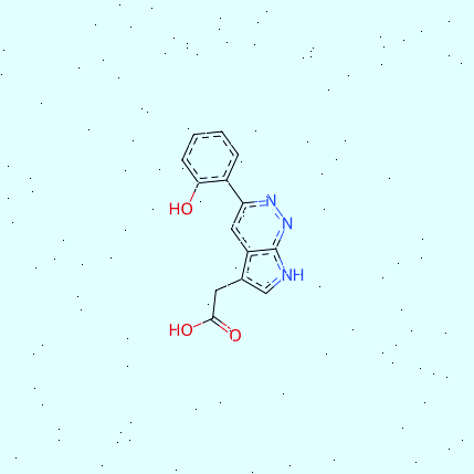 O=C(O)Cc1c[nH]c2nnc(-c3ccccc3O)cc12